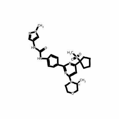 C[C@H]1COCCN1c1cc(C2(S(C)(=O)=O)CCCC2)nc(-c2ccc(NC(=O)Nc3cnn(C)c3)cc2)n1